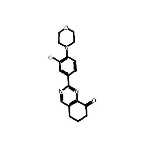 O=C1CCCc2cnc(-c3ccc(N4CCOCC4)c(Cl)c3)nc21